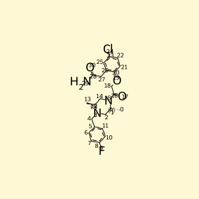 C[C@@H]1CN(Cc2ccc(F)cc2)[C@@H](C)CN1C(=O)COc1ccc(Cl)cc1CC(N)=O